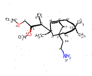 CCC(C(CO[N+](=O)[O-])O[N+](=O)[O-])C1(C)C=C2CC(C)(C)CC(CCN)(C2)C1